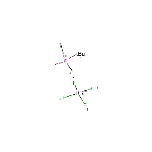 CC(C)(C)[P+](C)(C)C.F[B-](F)(F)F